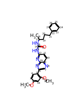 COc1ccc(-c2cnc3ccc(NC(=O)NC(C)CCCc4ccccc4)nc3n2)c(OC)c1